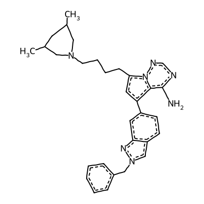 CC1CC(C)CN(CCCCc2cc(-c3ccc4cn(Cc5ccccc5)nc4c3)c3c(N)ncnn23)C1